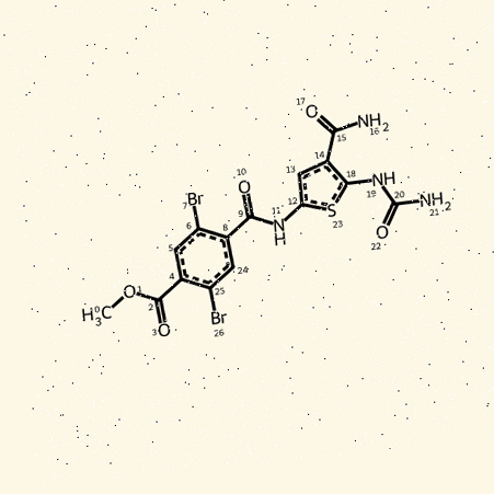 COC(=O)c1cc(Br)c(C(=O)Nc2cc(C(N)=O)c(NC(N)=O)s2)cc1Br